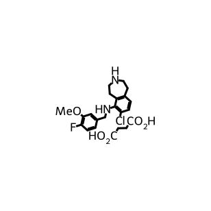 COc1cc(CNc2c(Cl)ccc3c2CCNCC3)ccc1F.O=C(O)CCC(=O)O